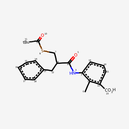 Cc1c(NC(=O)C(CSC(=O)C(C)(C)C)Cc2ccccc2)cccc1C(=O)O